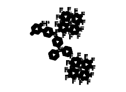 Cc1ccc([IH+])c(-c2ccc(Sc3ccc([S+](c4ccccc4)c4ccccc4)cc3)cc2)c1.Fc1c(F)c(F)c([B-](c2c(F)c(F)c(F)c(F)c2F)(c2c(F)c(F)c(F)c(F)c2F)c2c(F)c(F)c(F)c(F)c2F)c(F)c1F.Fc1c(F)c(F)c([B-](c2c(F)c(F)c(F)c(F)c2F)(c2c(F)c(F)c(F)c(F)c2F)c2c(F)c(F)c(F)c(F)c2F)c(F)c1F